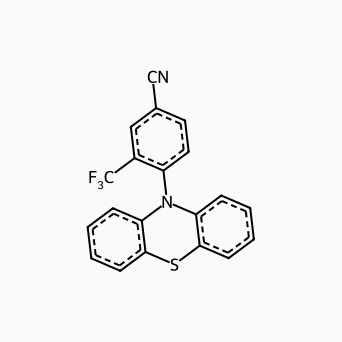 N#Cc1ccc(N2c3ccccc3Sc3ccccc32)c(C(F)(F)F)c1